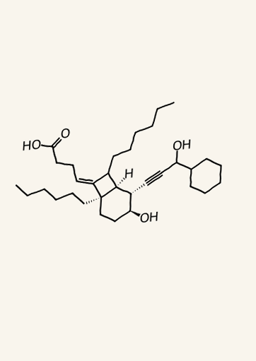 CCCCCCC1C(=CCCC(=O)O)[C@]2(CCCCCC)CC[C@H](O)[C@@H](C#CC(O)C3CCCCC3)[C@H]12